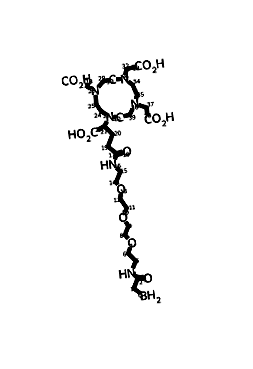 BCC(=O)NCCOCCOCCOCCNC(=O)CCC(C(=O)O)N1CCN(CC(=O)O)CCN(CC(=O)O)CCN(CC(=O)O)CC1